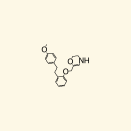 COc1ccc(CCc2ccccc2OCC2=CNCCO2)cc1